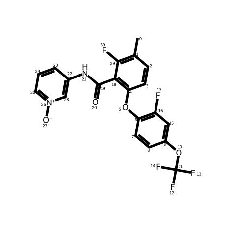 Cc1ccc(Oc2ccc(OC(F)(F)F)cc2F)c(C(=O)Nc2ccc[n+]([O-])c2)c1F